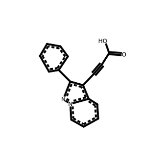 O=C(O)C#Cc1c(-c2ccccc2)nn2ccccc12